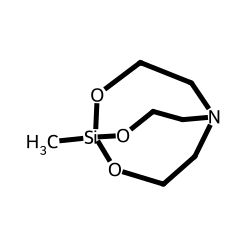 C[Si]12OCCN(CCO1)CCO2